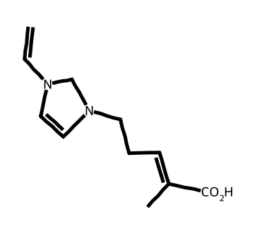 C=CN1C=CN(CCC=C(C)C(=O)O)C1